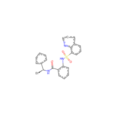 CC[C@H](NC(=O)c1ccccc1NS(=O)(=O)c1cccc2cccnc12)c1ccccc1